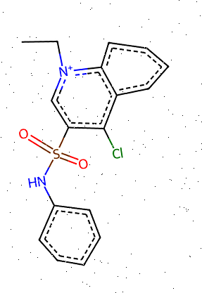 CC[n+]1cc(S(=O)(=O)Nc2ccccc2)c(Cl)c2ccccc21